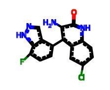 Nc1c(-c2ccc(F)c3[nH]ncc23)c2cc(Cl)ccc2[nH]c1=O